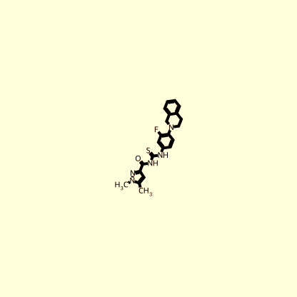 Cc1cc(C(=O)NC(=S)Nc2ccc(N3CCc4ccccc4C3)c(F)c2)nn1C